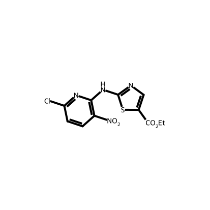 CCOC(=O)c1cnc(Nc2nc(Cl)ccc2[N+](=O)[O-])s1